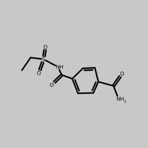 CCS(=O)(=O)NC(=O)c1ccc(C(N)=O)cc1